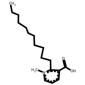 CCCCCCCCCCCc1c(C(=O)O)ccc[n+]1C